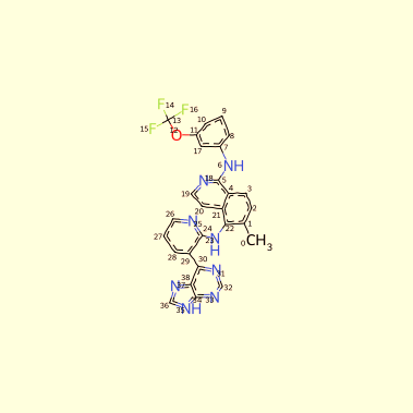 Cc1ccc2c(Nc3cccc(OC(F)(F)F)c3)nccc2c1Nc1ncccc1-c1ncnc2[nH]cnc12